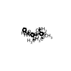 COc1cc(NC(=O)c2ccc(NC(=O)Nc3ccccc3)cc2OC)c(C(N)=O)cc1OC